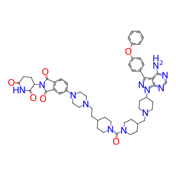 Nc1ncnc2c1c(-c1ccc(Oc3ccccc3)cc1)nn2C1CCN(CC2CCN(C(=O)N3CCC(CCN4CCN(c5ccc6c(c5)C(=O)N(C5CCC(=O)NC5=O)C6=O)CC4)CC3)CC2)CC1